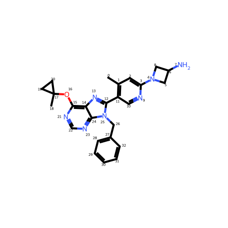 Cc1cc(N2CC(N)C2)ncc1-c1nc2c(OC3(C)CC3)ncnc2n1Cc1ccccc1